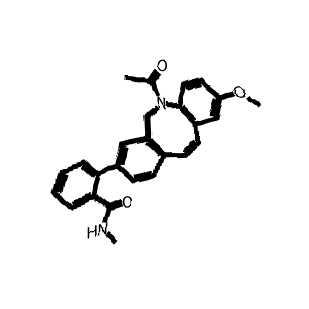 CNC(=O)c1ccccc1-c1ccc2c(c1)CN(C(C)=O)c1ccc(OC)cc1C=C2